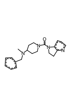 CN(Cc1ccccc1)C1CCN(C(=O)N2CCc3ncccc32)CC1